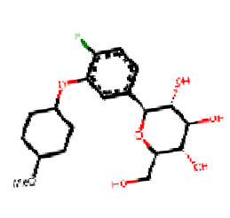 COC1CCC(Oc2cc([C@@H]3O[C@H](CO)[C@@H](O)[C@H](O)[C@H]3O)ccc2F)CC1